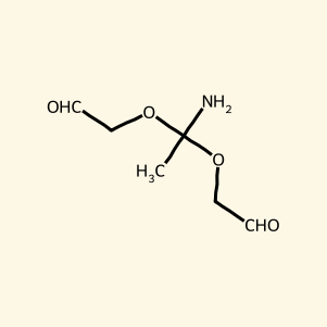 CC(N)(OCC=O)OCC=O